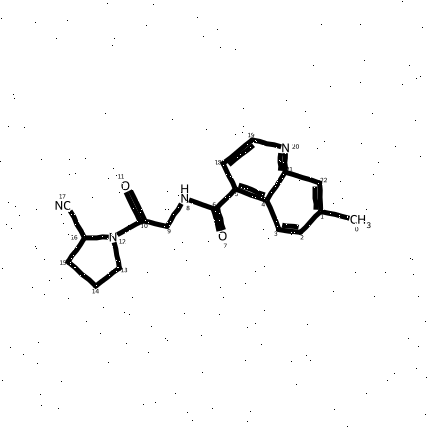 Cc1ccc2c(C(=O)NCC(=O)N3CCCC3C#N)ccnc2c1